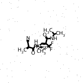 C=C(C#N)C(=O)N[SH](C)(=S)/C=C(/C(=O)NC(C)C)C(F)(F)F